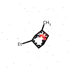 CCc1cc2cc(C)c1o2